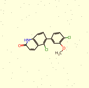 COc1cc(-c2ccc3[nH]c(=O)ccc3c2Cl)ccc1Cl